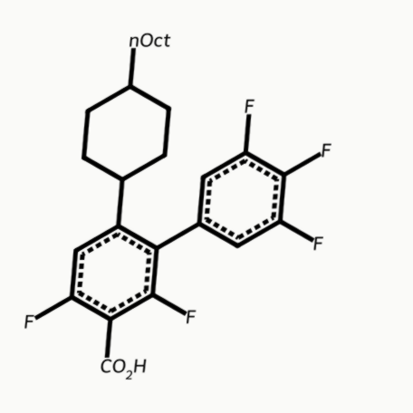 CCCCCCCCC1CCC(c2cc(F)c(C(=O)O)c(F)c2-c2cc(F)c(F)c(F)c2)CC1